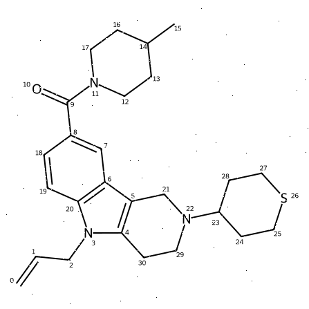 C=CCn1c2c(c3cc(C(=O)N4CCC(C)CC4)ccc31)CN(C1CCSCC1)CC2